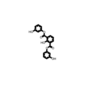 O=C(Oc1cccc(O)c1)c1cccc(C(=O)Oc2cccc(O)c2)c1O